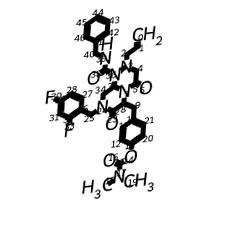 C=CCN1CC(=O)N2C(Cc3ccc(OC(=O)N(C)C)cc3)C(=O)N(Cc3ccc(F)cc3F)CC2N1C(=O)NCc1ccccc1